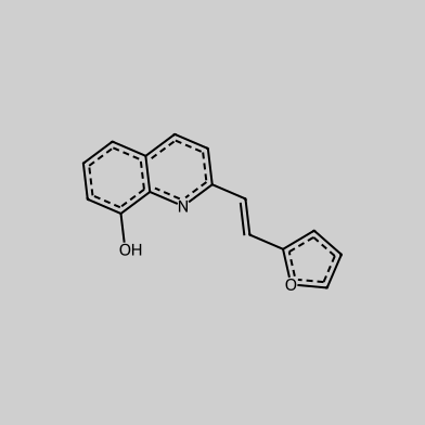 Oc1cccc2ccc(C=Cc3ccco3)nc12